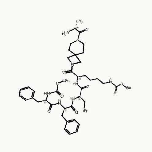 CC(C)C[C@@H](NC(=O)[C@@H](Cc1ccccc1)NC(=O)[C@@H](Cc1ccccc1)NC(=O)OC(C)(C)C)C(=O)N[C@H](CCCCNC(=O)OC(C)(C)C)C(=O)N1CC2(CCN(C(=O)[C@@H](C)N)CC2)C1